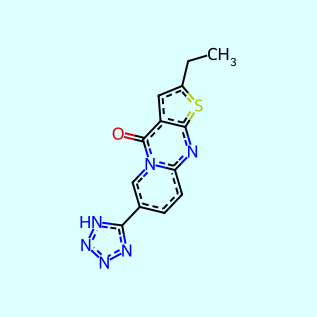 CCc1cc2c(=O)n3cc(-c4nnn[nH]4)ccc3nc2s1